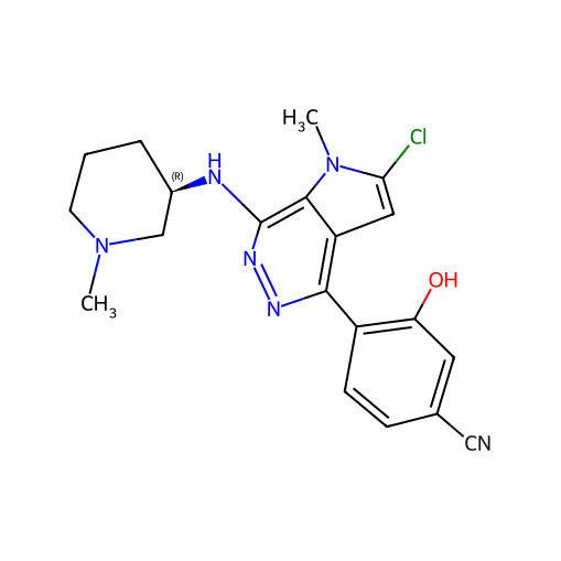 CN1CCC[C@@H](Nc2nnc(-c3ccc(C#N)cc3O)c3cc(Cl)n(C)c23)C1